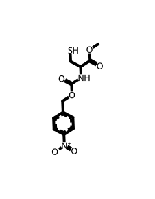 COC(=O)C(CS)NC(=O)OCc1ccc([N+](=O)[O-])cc1